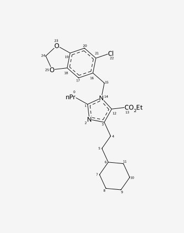 CCCc1nc(CCC2CCCCC2)c(C(=O)OCC)n1Cc1cc2c(cc1Cl)OCO2